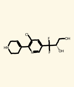 OC[C@H](O)C(F)(F)c1cnc(C2=CCNCC2)c(Cl)c1